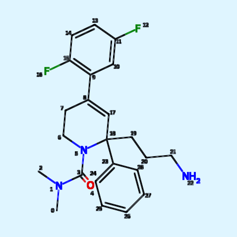 CN(C)C(=O)N1CCC(c2cc(F)ccc2F)=CC1(CCCN)c1ccccc1